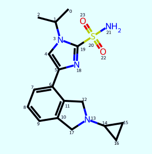 CC(C)n1cc(-c2cccc3c2CN(C2CC2)C3)nc1S(N)(=O)=O